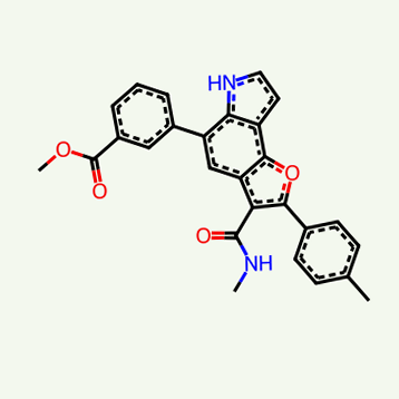 CNC(=O)c1c(-c2ccc(C)cc2)oc2c1cc(-c1cccc(C(=O)OC)c1)c1[nH]ccc12